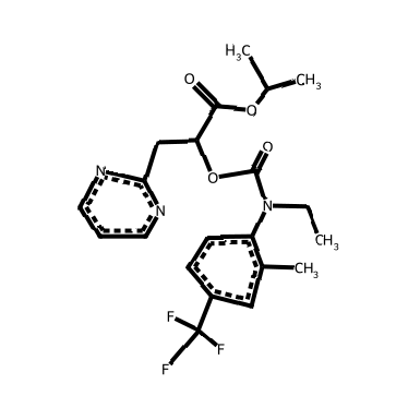 CCN(C(=O)OC(Cc1ncccn1)C(=O)OC(C)C)c1ccc(C(F)(F)F)cc1C